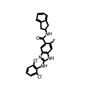 O=C(NC1Cc2ccccc2C1)c1cc2nc(Nc3c(Cl)cccc3Cl)[nH]c2cc1F